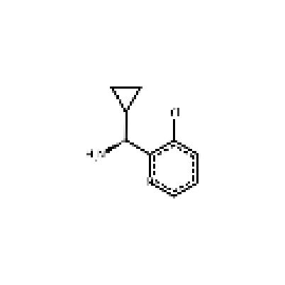 N[C@H](c1ncccc1Cl)C1CC1